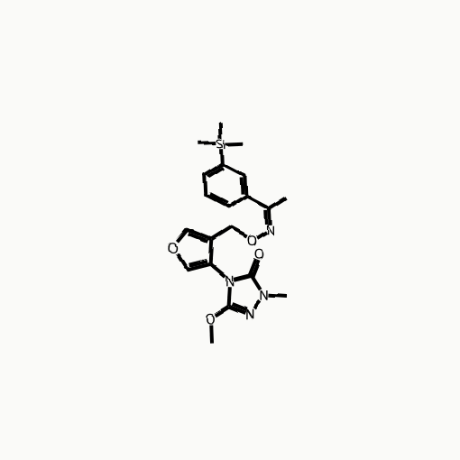 COc1nn(C)c(=O)n1-c1cocc1CO/N=C(/C)c1cccc([Si](C)(C)C)c1